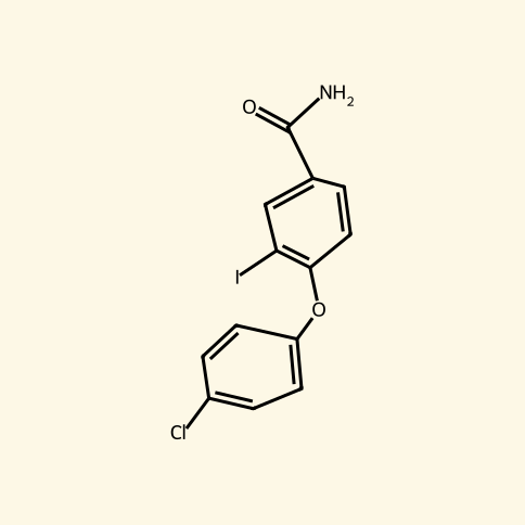 NC(=O)c1ccc(Oc2ccc(Cl)cc2)c(I)c1